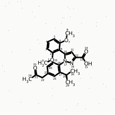 COc1cccc(OC)c1-c1cc(C(=O)O)nn1-c1ccc(CC(C)=O)cc1C(C)C